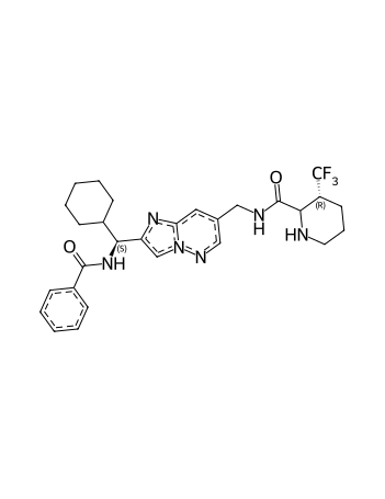 O=C(N[C@H](c1cn2ncc(CNC(=O)C3NCCC[C@H]3C(F)(F)F)cc2n1)C1CCCCC1)c1ccccc1